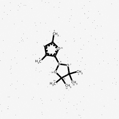 Cc1cc(C)c(B2OC(C)(C)C(C)(C)O2)o1